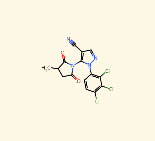 CC1CC(=O)N(c2c(C#N)cnn2-c2ccc(Cl)c(Cl)c2Cl)C1=O